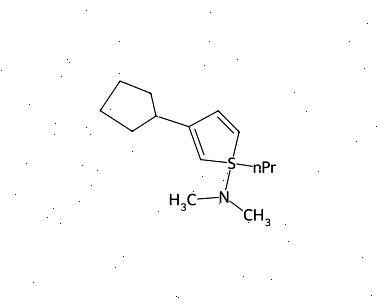 CCCS1(N(C)C)C=CC(C2CCCC2)=C1